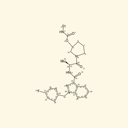 CCNC(=O)OC1CCCN(C(=O)[C@@H](NC(=O)c2nn(Cc3ccc(F)cc3)c3ccccc23)C(C)(C)C)C1